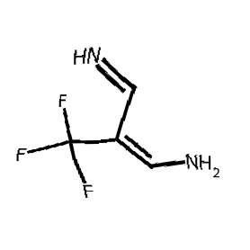 N=C/C(=C\N)C(F)(F)F